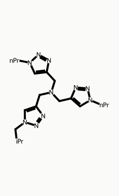 CCCn1cc(CN(Cc2cn(CCC)nn2)Cc2cn(CC(C)C)nn2)nn1